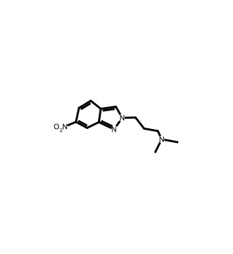 CN(C)CCCn1cc2ccc([N+](=O)[O-])cc2n1